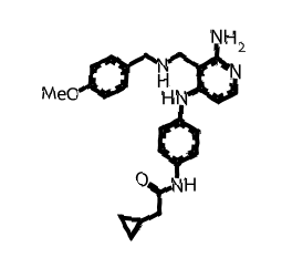 COc1ccc(CNCc2c(Nc3ccc(NC(=O)CC4CC4)cc3)ccnc2N)cc1